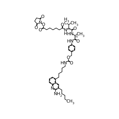 CCCCCc1cc2c(CCCCCNC(=O)OCc3ccc(NC(=O)[C@H](C)NC(=O)[C@@H](NC(=O)CCCCCC(=O)ON4C(=O)CCC4=O)C(C)C)cc3)cccc2nc1N